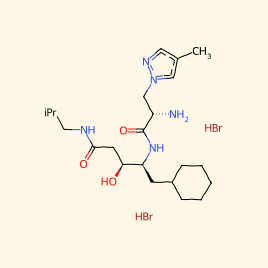 Br.Br.Cc1cnn(C[C@H](N)C(=O)N[C@@H](CC2CCCCC2)[C@@H](O)CC(=O)NCC(C)C)c1